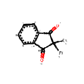 CCC1(C(C)C)C(=O)c2ccccc2C1=O